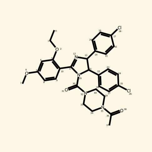 CCOc1cc(OC)ccc1C1=NC(c2ccc(Cl)cc2)C(c2ccc(Cl)cc2)N1C(=O)N1CCN(C(C)=O)CC1